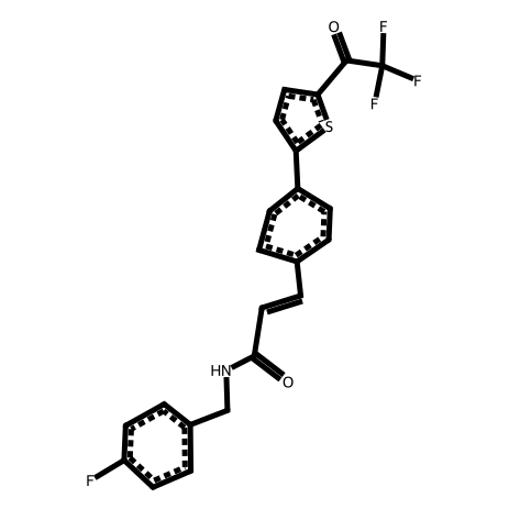 O=C(/C=C/c1ccc(-c2ccc(C(=O)C(F)(F)F)s2)cc1)NCc1ccc(F)cc1